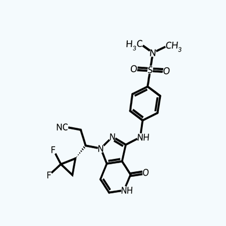 CN(C)S(=O)(=O)c1ccc(Nc2nn(C(CC#N)[C@@H]3CC3(F)F)c3cc[nH]c(=O)c23)cc1